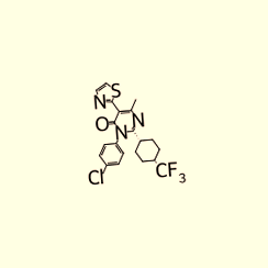 Cc1nc([C@H]2CC[C@@H](C(F)(F)F)CC2)n(-c2ccc(Cl)cc2)c(=O)c1-c1nccs1